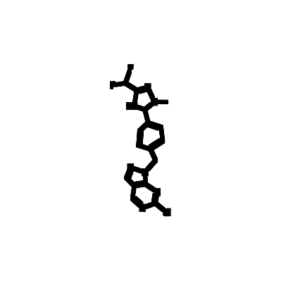 CN1N=C(C(F)F)NC1c1ccc(Cn2ncc3cnc(Cl)nc32)cc1